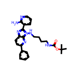 CC(C)(C)OC(=O)NCCCCNn1c(-c2cccnc2N)nc2ccc(-c3ccccc3)nc21